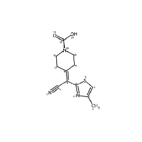 Cc1csc(C(C#N)=C2CCN(C(=O)O)CC2)n1